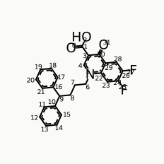 O=C(O)c1cn(CCCC(c2ccccc2)c2ccccc2)c2cc(F)c(F)cc2c1=O